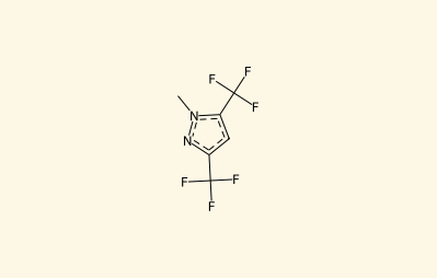 Cn1nc(C(F)(F)F)cc1C(F)(F)F